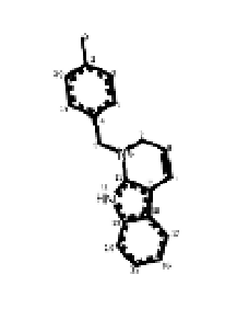 Cc1ccc(CN2CC=Cc3c2[nH]c2ccccc32)cc1